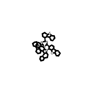 c1ccc2cc3c(cc2c1)c1c2ccccc2ccc1n3-c1c(-c2nc(-c3cccc4sc5ccccc5c34)nc(-n3c4ccccc4c4ccccc43)n2)ccc2c1oc1ccccc12